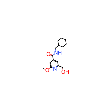 COc1cc(C(=O)NCC2CCCCC2)cc(CO)n1